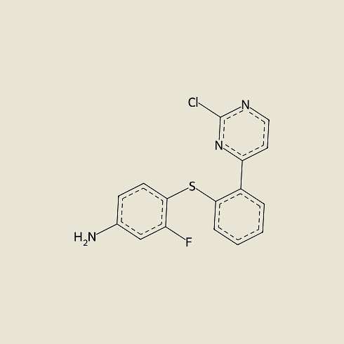 Nc1ccc(Sc2ccccc2-c2ccnc(Cl)n2)c(F)c1